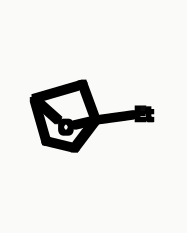 CCC12CCC(C1)O2